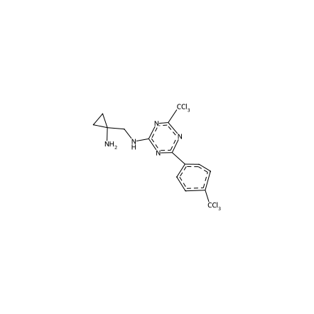 NC1(CNc2nc(-c3ccc(C(Cl)(Cl)Cl)cc3)nc(C(Cl)(Cl)Cl)n2)CC1